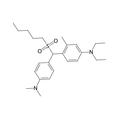 CCCCCS(=O)(=O)C(c1ccc(N(C)C)cc1)c1ccc(N(CC)CC)cc1C